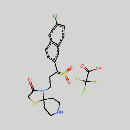 O=C(O)C(F)(F)F.O=C1CSC2(CCNCC2)N1CCC(c1ccc2cc(Cl)ccc2c1)=S(=O)=O